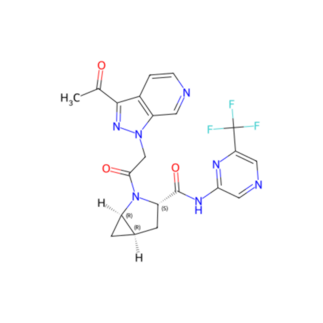 CC(=O)c1nn(CC(=O)N2[C@@H]3C[C@@H]3C[C@H]2C(=O)Nc2cncc(C(F)(F)F)n2)c2cnccc12